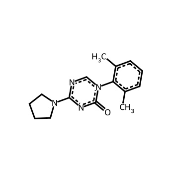 Cc1cccc(C)c1-n1cnc(N2CCCC2)nc1=O